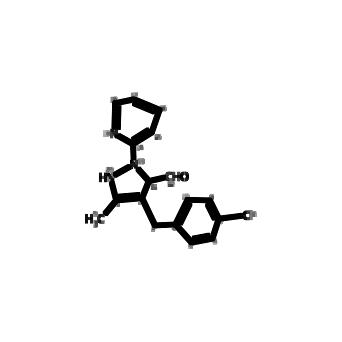 CC1=C(Cc2ccc(Cl)cc2)C(C=O)N(c2ccccn2)N1